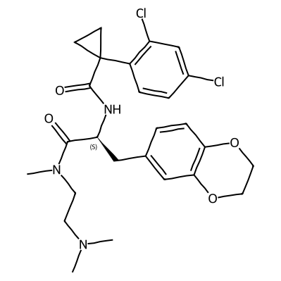 CN(C)CCN(C)C(=O)[C@H](Cc1ccc2c(c1)OCCO2)NC(=O)C1(c2ccc(Cl)cc2Cl)CC1